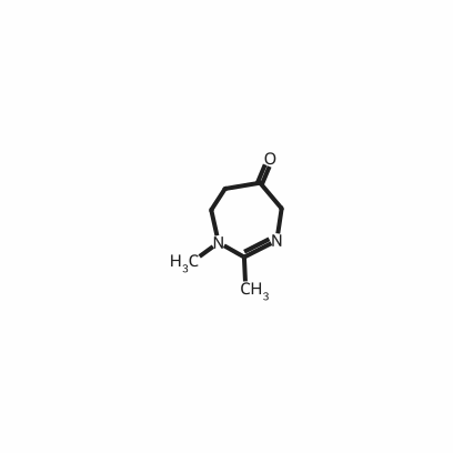 CC1=NCC(=O)CCN1C